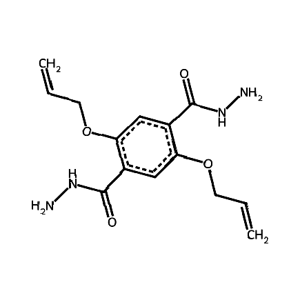 C=CCOc1cc(C(=O)NN)c(OCC=C)cc1C(=O)NN